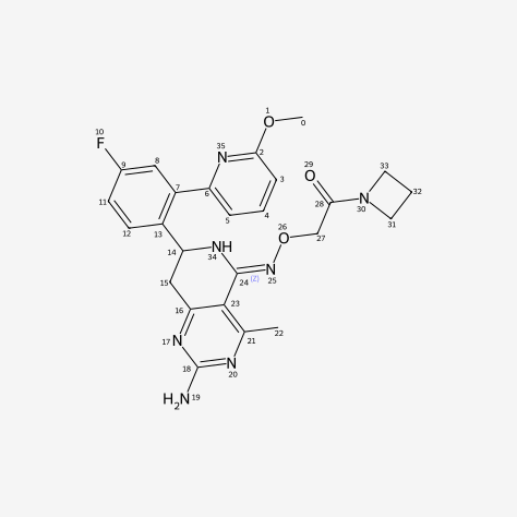 COc1cccc(-c2cc(F)ccc2C2Cc3nc(N)nc(C)c3/C(=N/OCC(=O)N3CCC3)N2)n1